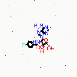 Nc1ncnc2c1ncn2[C@@H]1O[C@H](CO)[C@H](O)C1NC(=O)c1ccc(F)cc1